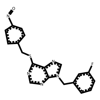 O=Nc1ccc(CSc2ncnc3c2ncn3Cc2cccc(F)c2)cc1